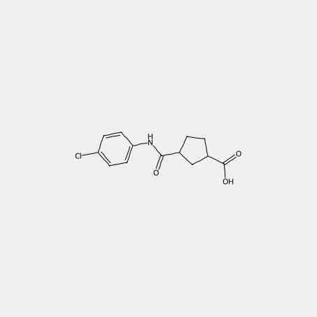 O=C(O)C1CCC(C(=O)Nc2ccc(Cl)cc2)C1